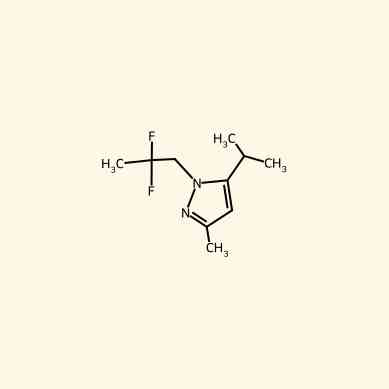 Cc1cc(C(C)C)n(CC(C)(F)F)n1